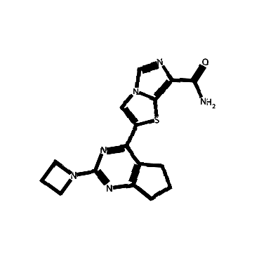 NC(=O)c1ncn2cc(-c3nc(N4CCC4)nc4c3CCC4)sc12